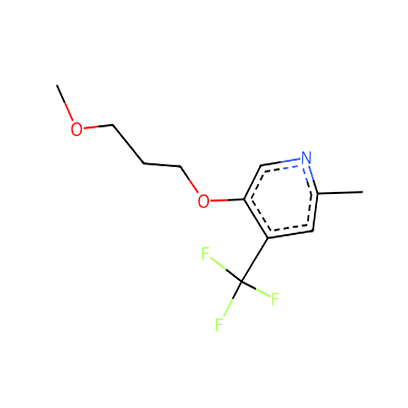 COCCCOc1cnc(C)cc1C(F)(F)F